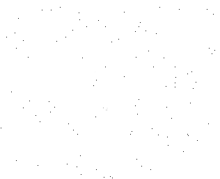 CN1CCC(=O)Nc2ccccc21